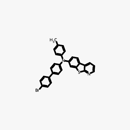 Cc1ccc(N(c2ccc(-c3ccc(Br)cc3)cc2)c2ccc3c(c2)sc2ncccc23)cc1